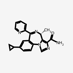 C[C@H]1N=C(c2ccccn2)c2cc(C3CC3)ccc2-n2cnc(C(N)=O)c21